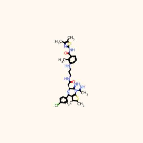 CC(=N)N1C(=N)[C@H](CC(=O)NCCCNc2cccc(C(=O)Nc3nc(C)c(C)s3)c2C)N=C(c2ccc(Cl)cc2)C2=C1SC(C)C2C